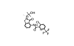 C[C@@H](N1Cc2cccc(NC(=O)c3nc(C(F)(F)F)ccc3Cl)c2C1=O)C(C)(C)O